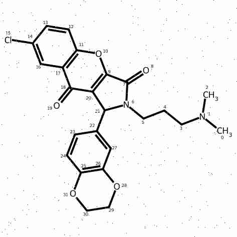 CN(C)CCCN1C(=O)c2oc3ccc(Cl)cc3c(=O)c2C1c1ccc2c(c1)OCCO2